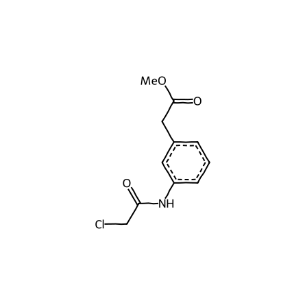 COC(=O)Cc1cccc(NC(=O)CCl)c1